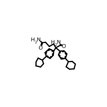 NC(=O)CCCC(C(N)=O)(c1ccc(C2CCCCC2)cc1)c1ccc(C2CCCCC2)cc1